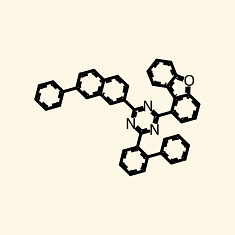 c1ccc(-c2ccc3ccc(-c4nc(-c5ccccc5-c5ccccc5)nc(-c5cccc6oc7ccccc7c56)n4)cc3c2)cc1